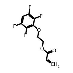 C=CC(=O)OCCOc1c(F)c(F)cc(F)c1F